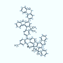 Cc1ccc(N(c2ccc3c(c2)C(C)(C)c2cc(-c4ccc5c(c4)-c4ccccc4OC5)c4oc5ccccc5c4c2-3)c2ccc3c(c2)C(C)(C)c2c4c(c5oc6ccccc6c5c2-3)-c2ccccc2C4(C)C)c(C)c1